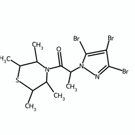 CC1SC(C)C(C)N(C(=O)C(C)n2nc(Br)c(Br)c2Br)C1C